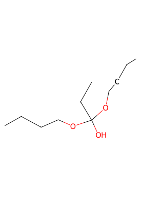 CCCCOC(O)(CC)OCCCC